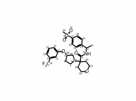 CC(NC(=O)C1(N2CC[C@@H](Oc3cccc(C(F)(F)F)c3)C2)CCOCC1)c1ccc(S(C)(=O)=O)cc1